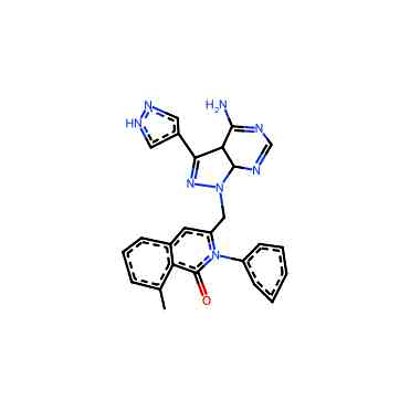 Cc1cccc2cc(CN3N=C(c4cn[nH]c4)C4C(N)=NC=NC43)n(-c3ccccc3)c(=O)c12